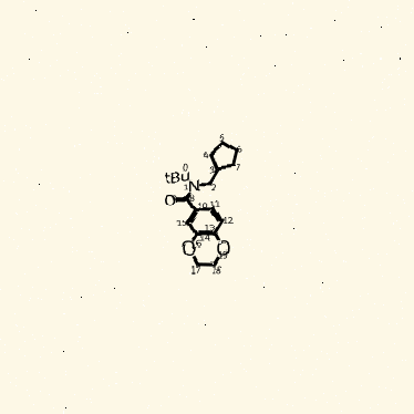 CC(C)(C)N(CC1CCCC1)C(=O)c1ccc2c(c1)OCCO2